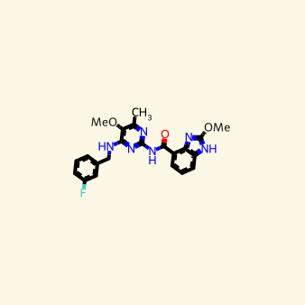 COc1nc2c(C(=O)Nc3nc(C)c(OC)c(NCc4cccc(F)c4)n3)cccc2[nH]1